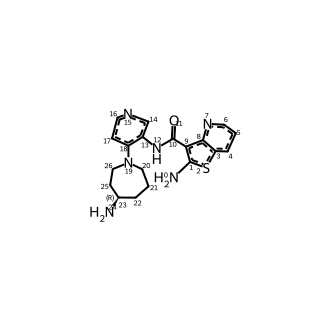 Nc1sc2cccnc2c1C(=O)Nc1cnccc1N1CCC[C@@H](N)CC1